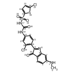 CNc1ccc2c(c1)N=C(c1ccc(NC(=O)NS(=O)(=O)c3ccc(Cl)s3)cc1Cl)C2=O